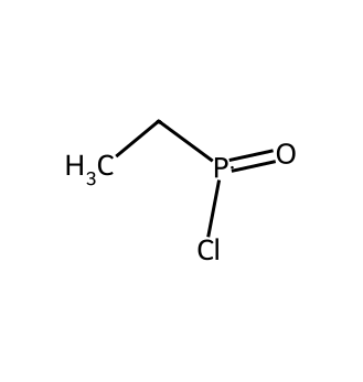 CC[P](=O)Cl